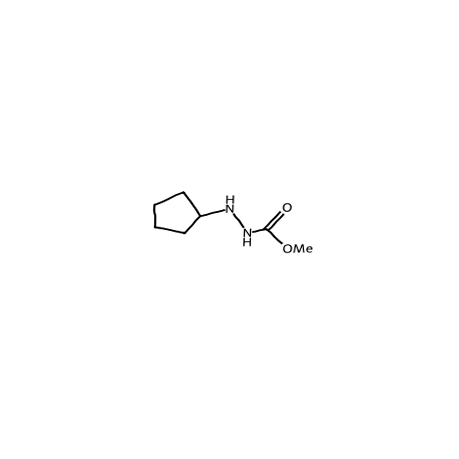 COC(=O)NNC1CCCC1